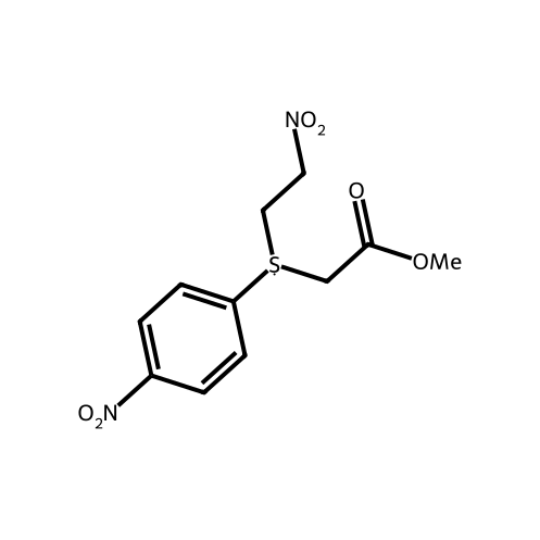 COC(=O)C[S](CC[N+](=O)[O-])c1ccc([N+](=O)[O-])cc1